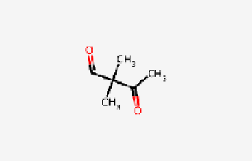 CC(=O)C(C)(C)C=O